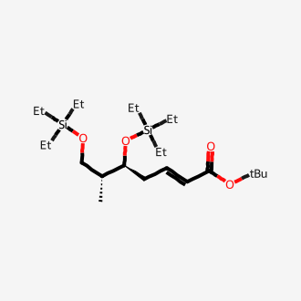 CC[Si](CC)(CC)OC[C@@H](C)[C@H](CC=CC(=O)OC(C)(C)C)O[Si](CC)(CC)CC